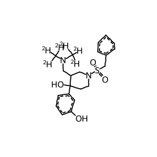 [2H]C([2H])([2H])N(CC1CN(S(=O)(=O)Cc2ccccc2)CCC1(O)c1cccc(O)c1)C([2H])([2H])[2H]